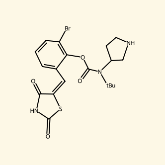 CC(C)(C)N(C(=O)Oc1c(Br)cccc1C=C1SC(=O)NC1=O)C1CCNC1